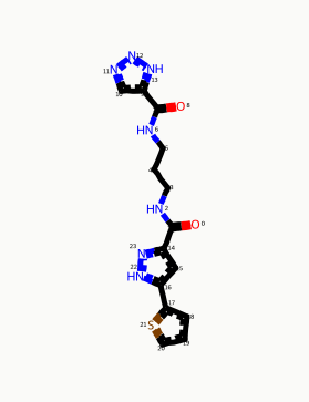 O=C(NCCCNC(=O)c1cnn[nH]1)c1cc(-c2cccs2)[nH]n1